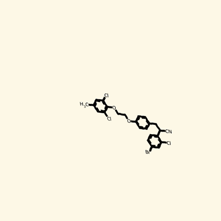 Cc1cc(Cl)c(OCCOc2ccc(CC(C#N)c3ccc(Br)cc3Cl)cc2)c(Cl)c1